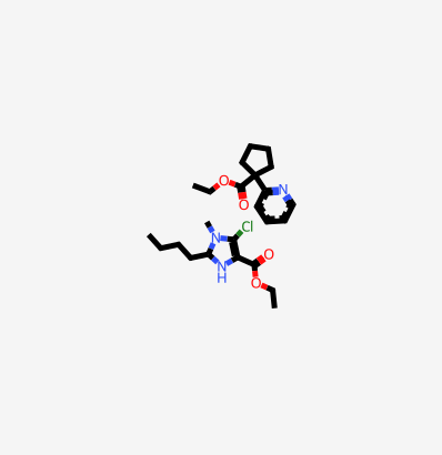 CCCCC1NC(C(=O)OCC)=C(Cl)N1C.CCOC(=O)C1(c2ccccn2)CCCC1